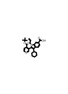 C=CCn1c(-c2cnccc2C(=O)OC(C)(C)C)c(C2CCCCC2)c2ccc(C(=O)O)cc21